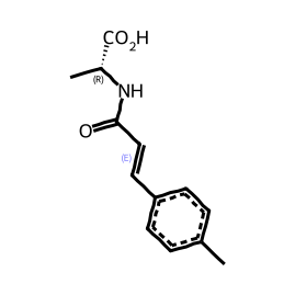 Cc1ccc(/C=C/C(=O)N[C@H](C)C(=O)O)cc1